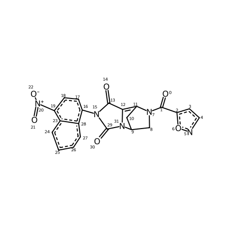 O=C(c1ccno1)N1CC2CC1=C1C(=O)N(c3ccc([N+](=O)[O-])c4ccccc34)C(=O)N12